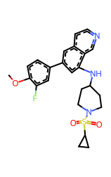 COc1ccc(-c2cc(NC3CCN(S(=O)(=O)C4CC4)CC3)c3cnccc3c2)cc1F